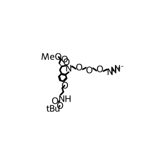 COC(=O)C[C@@H]1Cc2ccc(OCCCNC(=O)OC(C)(C)C)cc2CN(CCOCCOCCOCCN=[N+]=[N-])C1=O